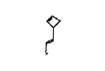 BrC=CC1C=CC1